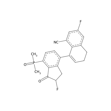 CP(C)(=O)c1ccc(C2=CCCc3cc(F)cc(C#N)c32)c2c1C(=O)C(F)C2